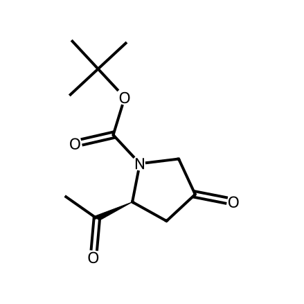 CC(=O)[C@@H]1CC(=O)CN1C(=O)OC(C)(C)C